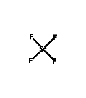 [F][Sc]([F])([F])[F]